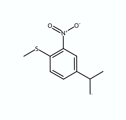 [CH2]C(C)c1ccc(SC)c([N+](=O)[O-])c1